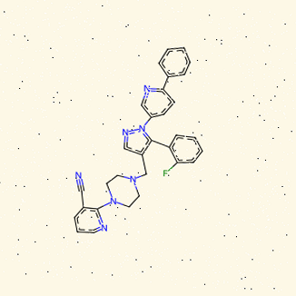 N#Cc1cccnc1N1CCN(Cc2cnn(-c3ccc(-c4ccccc4)nc3)c2-c2ccccc2F)CC1